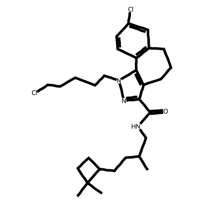 CC(CCC1CCC1(C)C)CNC(=O)c1nn(CCCCCCl)c2c1CCCc1cc(Cl)ccc1-2